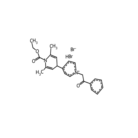 Br.CCOC(=O)N1C(C)=CC(c2cc[n+](CC(=O)c3ccccc3)cc2)C=C1C.[Br-]